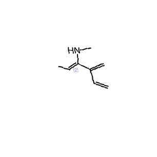 C=CC(=C)/C(=C/C)NC